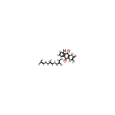 CC(C)=CCC/C(C)=C/CC/C(C)=C/C[C@]12C=C[C@H](C1)C1C(=O)C3=C(CC(C)=C(C)C3)C(=O)C12